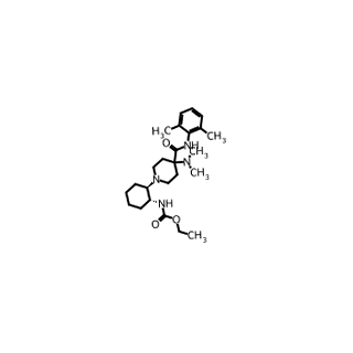 CCOC(=O)N[C@@H]1CCCC[C@H]1N1CCC(C(=O)Nc2c(C)cccc2C)(N(C)C)CC1